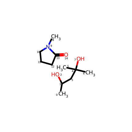 CC(O)CC(C)(C)O.CN1CCCC1=O